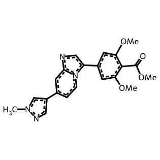 COC(=O)c1c(OC)cc(-c2cnc3cc(-c4cnn(C)c4)ccn23)cc1OC